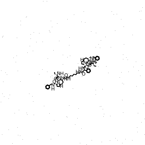 CC[C@H](NC)C(=O)N[C@@H]1C(=O)N2[C@@H](CC[C@@H]1CNC(=O)CCCCCCCNC(=O)[C@@H](NC(=O)[C@@H]1CC[C@@H]3CC[C@H](CNCc4ccccc4)[C@H](NC(=O)[C@H](CC)NC)C(=O)N31)c1ccccc1)CC[C@H]2C(=O)NCc1ccccc1